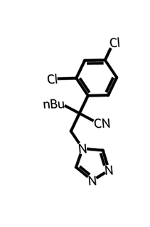 CCCCC(C#N)(Cn1cnnc1)c1ccc(Cl)cc1Cl